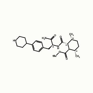 C[C@@H]1CC[C@H](C)N(C(=O)OC(C)(C)C)[C@@H]1C(=O)N[C@@H](Cc1ccc(C2CCNCC2)cc1)C(N)=O